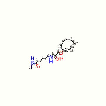 O=C(CCCCCNC[C@@H](O)COC1CCCCCCCCCC1)NI